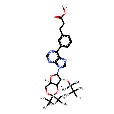 COC(=O)CCc1cccc(-c2ncnc3c2ncn3[C@@H]2O[C@@H]3CO[Si](C(C)(C)C)(C(C)(C)C)O[C@@H]3[C@H]2O[Si](C)(C)C(C)(C)C)c1